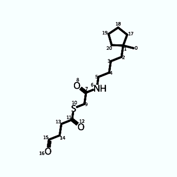 CC1(CCCCNC(=O)CSC(=O)CCC=O)CCCC1